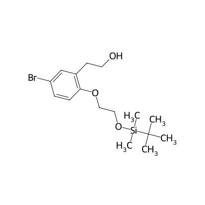 CC(C)(C)[Si](C)(C)OCCOc1ccc(Br)cc1CCO